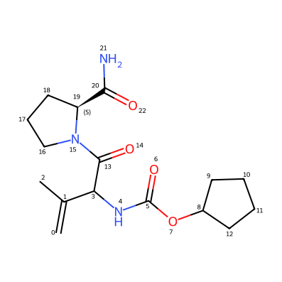 C=C(C)C(NC(=O)OC1CCCC1)C(=O)N1CCC[C@H]1C(N)=O